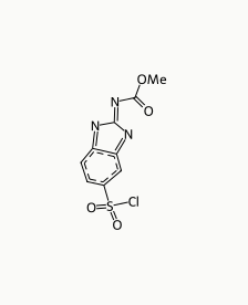 COC(=O)/N=C1/N=c2ccc(S(=O)(=O)Cl)cc2=N1